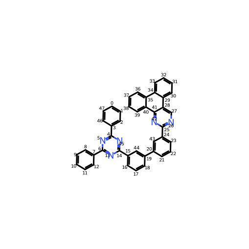 c1ccc(-c2nc(-c3ccccc3)nc(-c3cccc(-c4cccc(-c5ncc6c7ccccc7c7ccccc7c6n5)c4)c3)n2)cc1